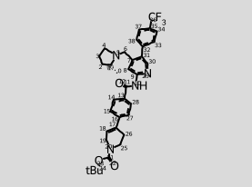 C[C@@H]1CCCN1Cc1cc(NC(=O)c2ccc(C3=CCN(C(=O)OC(C)(C)C)CC3)cc2)ncc1-c1ccc(C(F)(F)F)cc1